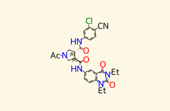 CCn1c(=O)c2cc(NC(=O)[C@H]3CN(C(C)=O)C[C@@H]3C(=O)Nc3ccc(C#N)c(Cl)c3)ccc2n(CC)c1=O